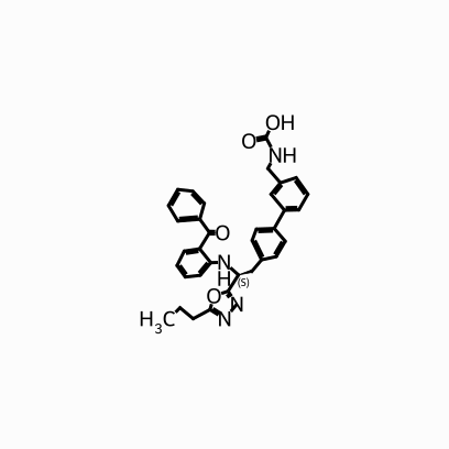 CCCc1nnc([C@H](Cc2ccc(-c3cccc(CNC(=O)O)c3)cc2)Nc2ccccc2C(=O)c2ccccc2)o1